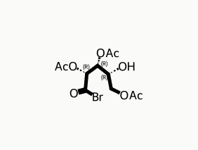 CC(=O)OC[C@@H](O)[C@@H](OC(C)=O)[C@@H](OC(C)=O)C(=O)Br